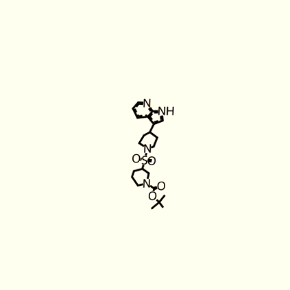 CC(C)(C)OC(=O)N1CCCC(S(=O)(=O)N2CCC(c3c[nH]c4ncccc34)CC2)C1